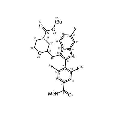 CNC(=O)c1cc(F)c(-c2nc3cc(C)ccn3c2CC2CN(C(=O)OC(C)(C)C)CCO2)c(F)c1